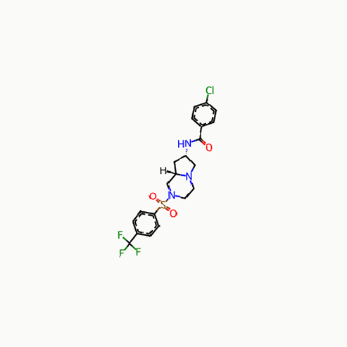 O=C(N[C@H]1C[C@H]2CN(S(=O)(=O)c3ccc(C(F)(F)F)cc3)CCN2C1)c1ccc(Cl)cc1